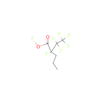 CCCC(F)(C(=O)OF)C(F)(F)C(F)(F)F